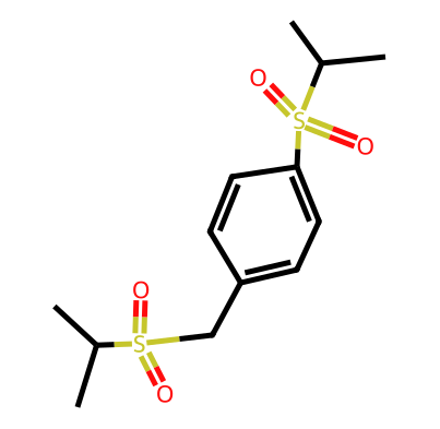 CC(C)S(=O)(=O)Cc1ccc(S(=O)(=O)C(C)C)cc1